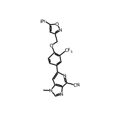 CC(C)c1cc(COc2ccc(-c3cc4c(ncn4C)c(C#N)n3)cc2C(F)(F)F)no1